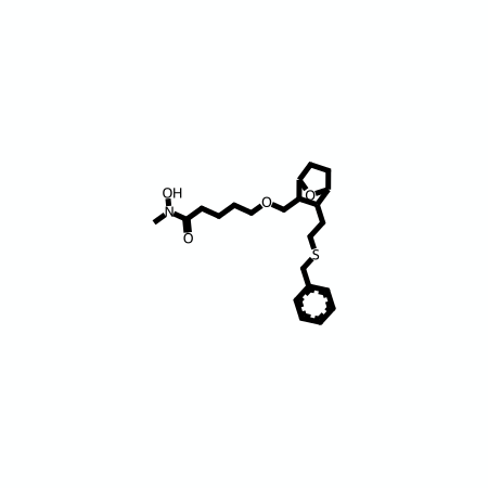 CN(O)C(=O)CCCCOCC1C2CCC(O2)C1CCSCc1ccccc1